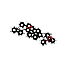 c1ccc(-c2ccccc2N(c2ccc3c4c(ccc3c2)-c2ccc3cc(N(c5ccccc5-c5ccccc5)c5cccc6c5oc5ccccc56)ccc3c2C4(c2ccccc2)c2ccccc2)c2cccc3c2oc2ccccc23)cc1